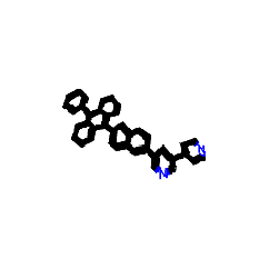 C1=c2c(-c3ccccc3)c3ccccc3c(-c3ccc4cc(-c5cncc(-c6ccncc6)c5)ccc4c3)c2=CCC1